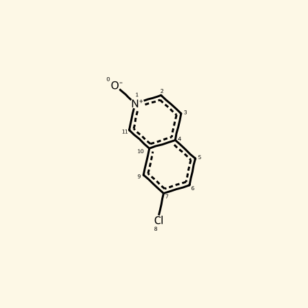 [O-][n+]1ccc2ccc(Cl)cc2c1